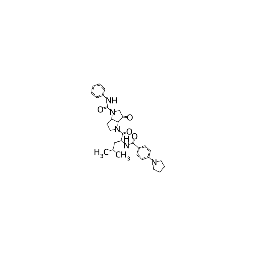 CC(C)CC(NC(=O)c1ccc(N2CCCC2)cc1)C(=O)N1CCC2C1C(=O)CN2C(=O)Nc1ccccc1